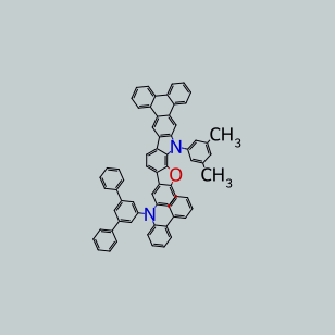 Cc1cc(C)cc(-n2c3cc4c5ccccc5c5ccccc5c4cc3c3ccc4c5cc(N(c6cc(-c7ccccc7)cc(-c7ccccc7)c6)c6ccccc6-c6ccccc6)ccc5oc4c32)c1